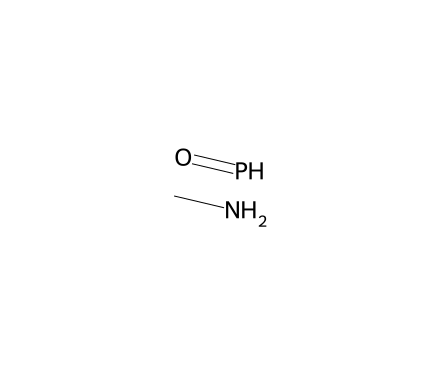 CN.O=P